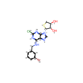 O[C@@H]1[C@H](O)CS[C@H]1n1cnc2c(NCc3cccc(Br)c3)nc(Cl)nc21